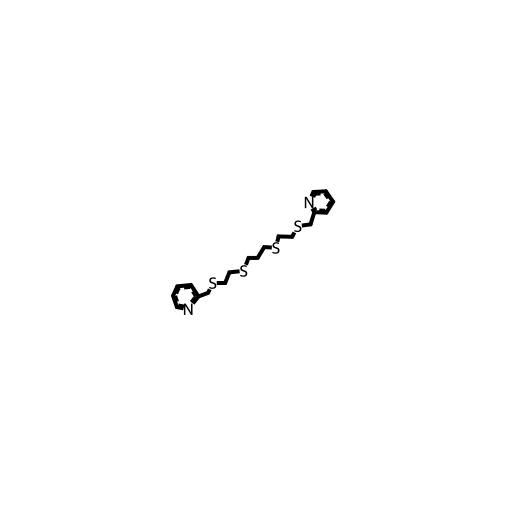 c1ccc(CSCCSCCCSCCSCc2ccccn2)nc1